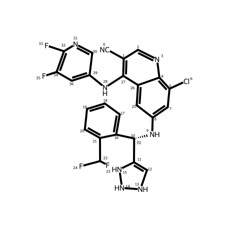 N#Cc1cnc2c(Cl)cc(N[C@H](C3=CNNN3)c3ccccc3C(F)F)cc2c1Nc1cnc(F)c(F)c1